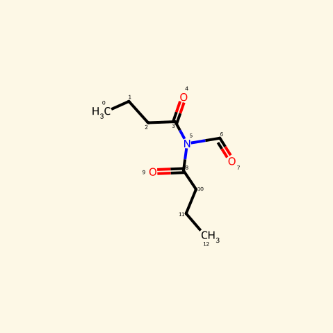 CCCC(=O)N(C=O)C(=O)CCC